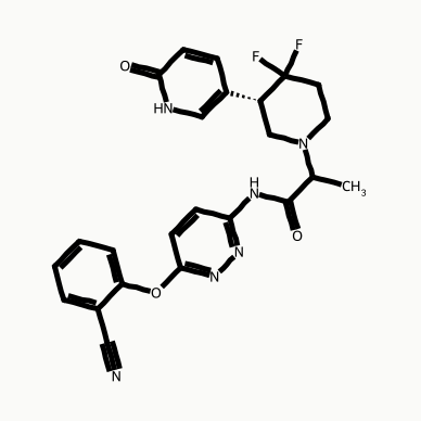 CC(C(=O)Nc1ccc(Oc2ccccc2C#N)nn1)N1CCC(F)(F)[C@@H](c2ccc(=O)[nH]c2)C1